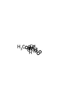 Cc1ccc(S(=O)(=O)N[C@@H](C)C(=O)Oc2csc(-c3cccc4ccccc34)n2)cc1